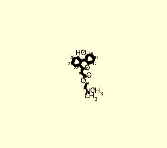 CN(C)CCOC(=O)CC1Oc2cccc(O)c2-c2ccccc21